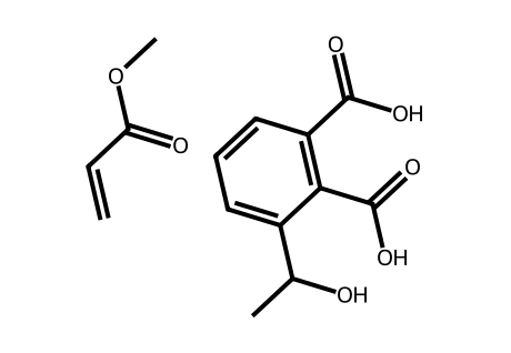 C=CC(=O)OC.CC(O)c1cccc(C(=O)O)c1C(=O)O